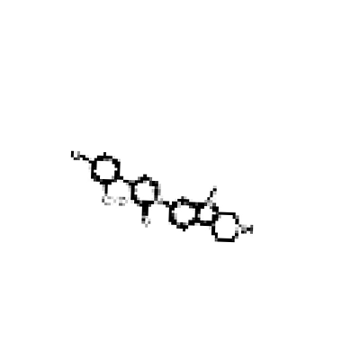 Cn1c2c(c3ccc(-n4ccc(-c5ccc(Cl)cc5C=O)cc4=O)cc31)CCNC2